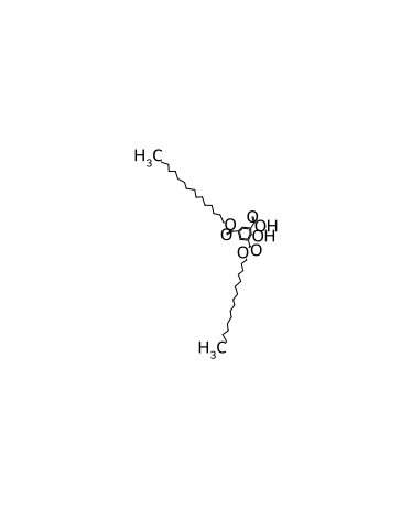 CCCCCCCCCCCCCCCCOC(=O)c1cc(C(=O)O)c(O)c(C(=O)OCCCCCCCCCCCCCCCC)c1